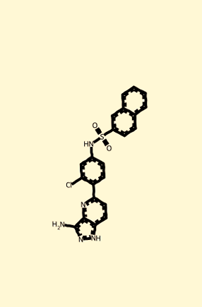 Nc1n[nH]c2ccc(-c3ccc(NS(=O)(=O)c4ccc5ccccc5c4)cc3Cl)nc12